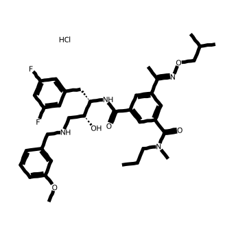 CCCN(C)C(=O)c1cc(C(=O)N[C@@H](Cc2cc(F)cc(F)c2)[C@H](O)CNCc2cccc(OC)c2)cc(/C(C)=N/OCC(C)C)c1.Cl